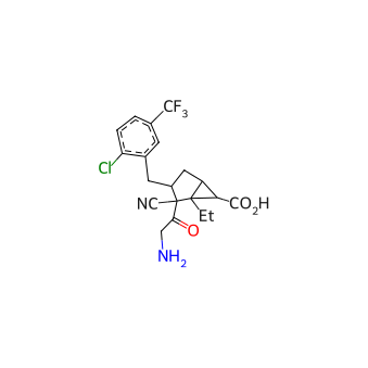 CCC12C(CC(Cc3cc(C(F)(F)F)ccc3Cl)C1(C#N)C(=O)CN)C2C(=O)O